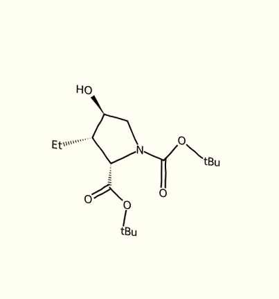 CC[C@H]1[C@@H](C(=O)OC(C)(C)C)N(C(=O)OC(C)(C)C)C[C@@H]1O